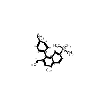 C[N+](C)(C)c1ccc2ccc(C=O)c(-c3ccc(N)cc3)c2c1.[Cl-]